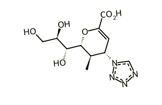 C[C@H]1[C@H]([C@H](O)[C@H](O)CO)OC(C(=O)O)=C[C@@H]1n1cnnn1